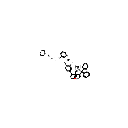 CCOc1nc2cccc(COOC(C)OC(=O)OC3CCCCC3)c2n1Cc1ccc(-c2ccccc2-c2nnnn2C(c2ccccc2)(c2ccccc2)c2ccccc2)cc1